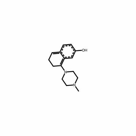 CN1CCN(C2=c3cc(O)ccc3=CCC2)CC1